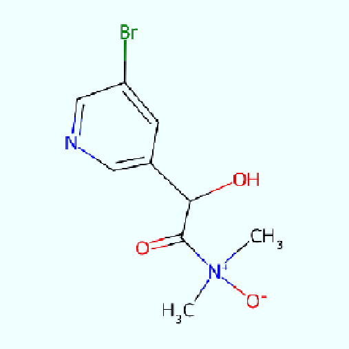 C[N+](C)([O-])C(=O)C(O)c1cncc(Br)c1